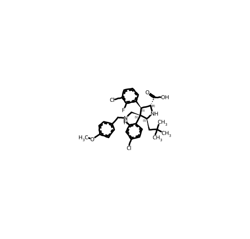 COc1ccc(CNC[C@]2(c3ccc(Cl)cc3F)[C@H](CC(C)(C)C)N[C@@H](C(=O)O)[C@@H]2c2cccc(Cl)c2F)cc1